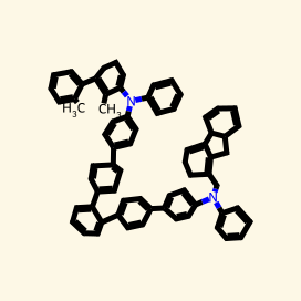 CC1=C(c2ccccc2C)CCC=C1N(c1ccccc1)c1ccc(-c2ccc(-c3ccccc3-c3ccc(-c4ccc(N(CC5=C6CC7C=CC=CC7C6=CCC5)c5ccccc5)cc4)cc3)cc2)cc1